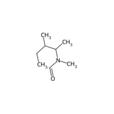 CCC(C)C(C)N(C)[C]=O